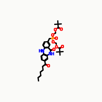 CCCCCCC(=O)c1ccc2c(c1)NC(=O)c1cc(CP(=O)(OCOC(=O)C(C)(C)C)OCOC(=O)C(C)(C)C)ccc1N2